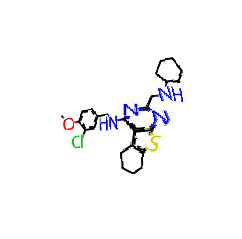 COc1ccc(CNc2nc(CNC3CCCCC3)nc3sc4c(c23)CCCC4)cc1Cl